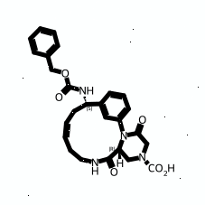 O=C(N[C@H]1CC=CCCNC(=O)[C@H]2CN(C(=O)O)CC(=O)N2c2cccc1c2)OCc1ccccc1